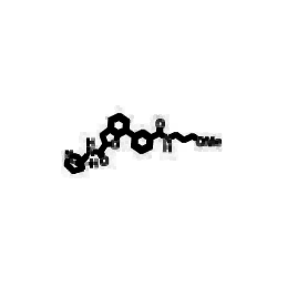 COCCCNC(=O)c1cccc(-c2cccc3c2OC(C(=O)N[C@@H]2CN4CCC2CC4)C3)c1